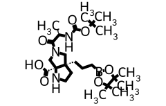 C[C@H](NC(=O)OC(C)(C)C)C(=O)N1C[C@@]2(CCCB3OC(C)(C)C(C)(C)O3)CCN[C@@]2(C(=O)O)C1